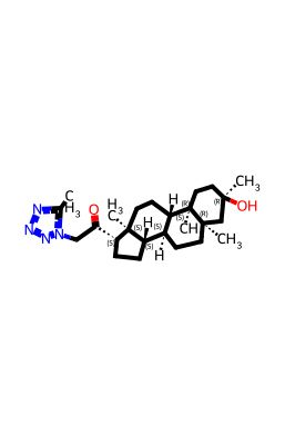 Cc1nnnn1CC(=O)[C@H]1CC[C@H]2[C@@H]3CC[C@]4(C)C[C@](C)(O)CC[C@]4(C)[C@H]3CC[C@]12C